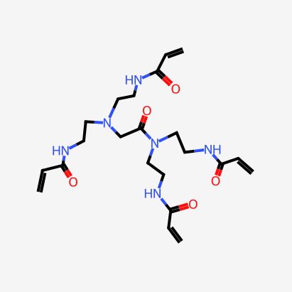 C=CC(=O)NCCN(CCNC(=O)C=C)CC(=O)N(CCNC(=O)C=C)CCNC(=O)C=C